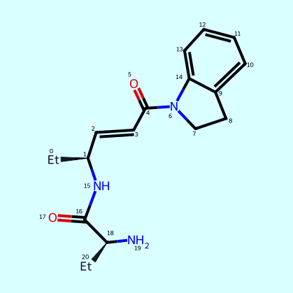 CC[C@@H](/C=C/C(=O)N1CCc2ccccc21)NC(=O)[C@@H](N)CC